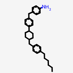 CCCCCCc1ccc(CC2CCC(c3ccc(Cc4ccc(N)cc4)cc3)CC2)cc1